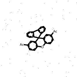 CC(=O)c1ccc2c(c1)C1(c3cc(C(C)=O)ccc3O2)c2ccccc2-c2ccccc21